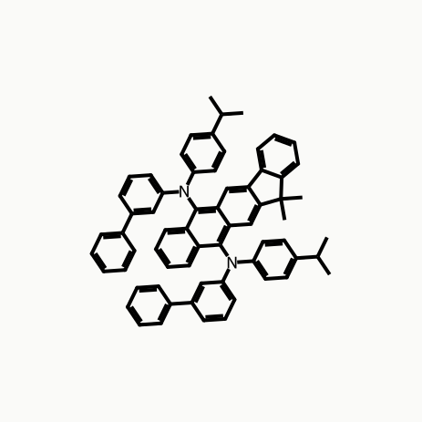 CC(C)c1ccc(N(c2cccc(-c3ccccc3)c2)c2c3ccccc3c(N(c3ccc(C(C)C)cc3)c3cccc(-c4ccccc4)c3)c3cc4c(cc23)-c2ccccc2C4(C)C)cc1